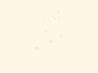 CNNc1nc(N2CCOCC2)c2[nH]c(C(=O)NC3CCCCC3)cc2n1